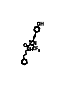 O=C(NCCCc1ccccc1)c1sc(C#Cc2ccc(O)cc2)nc1C(F)(F)F